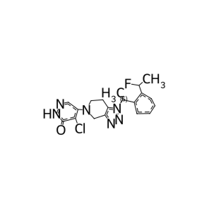 CC(F)c1ccccc1[C@H](C)n1nnc2c1CCN(c1cn[nH]c(=O)c1Cl)C2